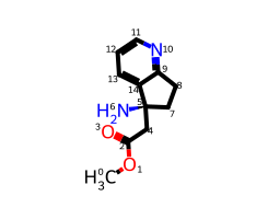 COC(=O)C[C@@]1(N)CCc2ncccc21